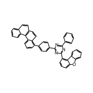 c1ccc(-c2nc(-c3ccc(-c4cccc5c4ccc4ccc6ccccc6c45)cc3)nc(-c3cccc4oc5ccccc5c34)n2)cc1